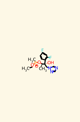 CCOP(C)(=O)O[C@H](C)[C@](O)(Cn1cncn1)c1ccc(F)cc1F